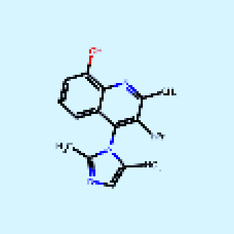 CCCc1c(C)nc2c(O)cccc2c1-n1c([N+](=O)[O-])cnc1C